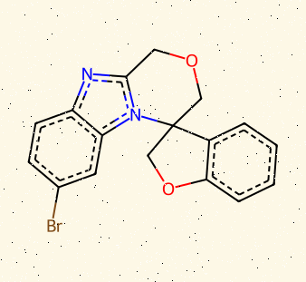 Brc1ccc2nc3n(c2c1)C1(COC3)COc2ccccc21